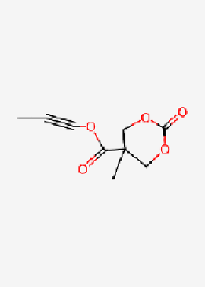 CC#COC(=O)C1(C)COC(=O)OC1